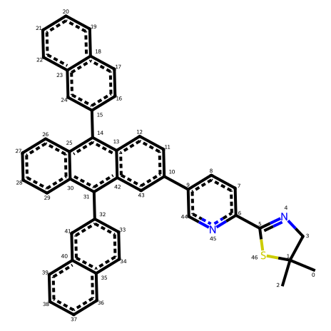 CC1(C)CN=C(c2ccc(-c3ccc4c(-c5ccc6ccccc6c5)c5ccccc5c(-c5ccc6ccccc6c5)c4c3)cn2)S1